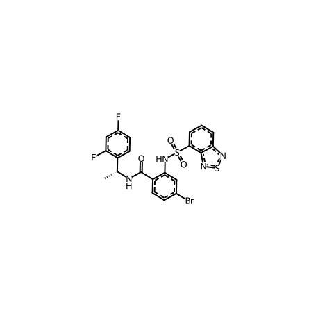 C[C@@H](NC(=O)c1ccc(Br)cc1NS(=O)(=O)c1cccc2nsnc12)c1ccc(F)cc1F